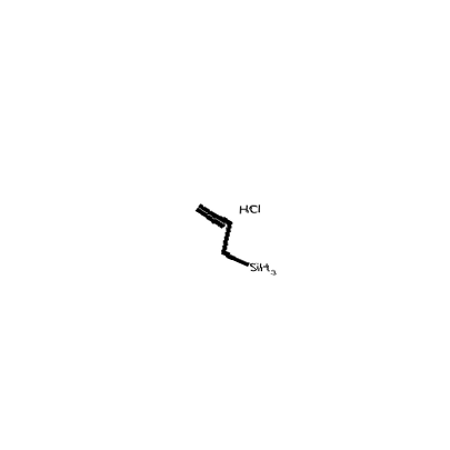 C=CC[SiH3].Cl